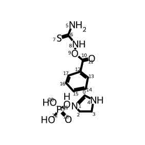 C1=NCCN1.NC(=S)NOC(=O)c1ccccc1.O=P(O)(O)O